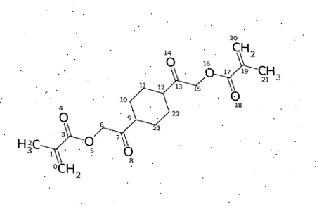 C=C(C)C(=O)OCC(=O)C1CCC(C(=O)COC(=O)C(=C)C)CC1